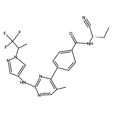 CC[C@@H](C#N)NC(=O)c1ccc(-c2nc(Nc3cnn(C(C)C(F)(F)F)c3)ncc2C)cc1